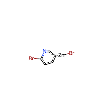 [Br][Zn][c]1ccc(Br)nc1